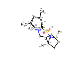 CNC[C@H]1C[C@H]2CC[C@@H]1N2S(=O)(=O)c1cc(C)cc(C)c1